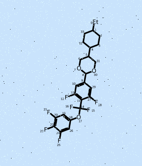 CCC1CCC(C2COC(c3cc(F)c(C(F)(F)Oc4cc(F)c(F)c(F)c4)c(F)c3)OC2)CC1